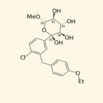 CCOc1ccc(Cc2cc([C@]3(O)O[C@H](OC)[C@@H](O)[C@H](O)[C@H]3O)ccc2Cl)cc1